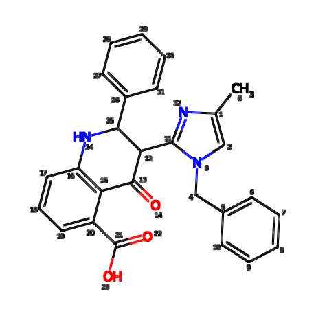 Cc1cn(Cc2ccccc2)c(C2C(=O)c3c(cccc3C(=O)O)NC2c2ccccc2)n1